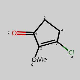 COC1=C(Cl)CCC1=O